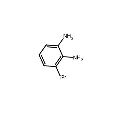 CC(C)c1cccc(N)c1N